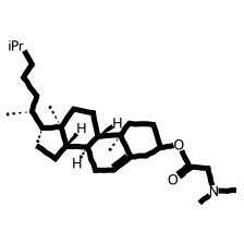 CC(C)CCC[C@@H](C)[C@H]1CC[C@H]2[C@@H]3CC=C4CC(OC(=O)CN(C)C)CC[C@]4(C)[C@H]3CC[C@]12C